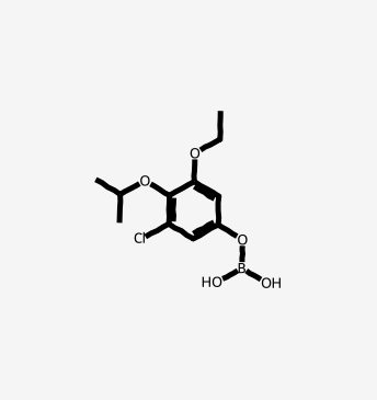 CCOc1cc(OB(O)O)cc(Cl)c1OC(C)C